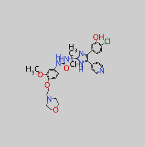 COc1cc(NC(=O)NC(C)(C)c2nc(-c3ccc(Cl)c(O)c3)c(-c3ccncc3)[nH]2)ccc1OCCN1CCOCC1